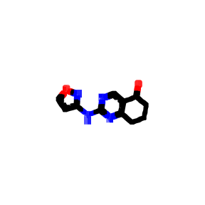 O=C1CCCc2nc(Nc3ccon3)ncc21